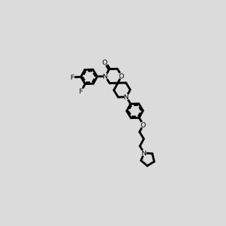 O=C1COC2(CCN(c3ccc(OCCCN4CCCC4)cc3)CC2)CN1c1ccc(F)c(F)c1